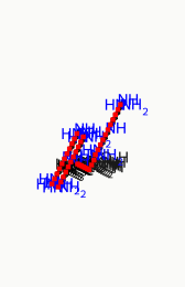 CC(=O)O.CC(=O)O.CC(=O)O.CC(=O)O.CC(=O)O.CC(=O)O.CC(=O)O.CC(=O)O.CC(=O)O.N=C(N)NCCCCCCCCNCCCCCCCCNC(=N)N.N=C(N)NCCCCCCCCNCCCCCCCCNC(=N)N.N=C(N)NCCCCCCCCNCCCCCCCCNC(=N)N